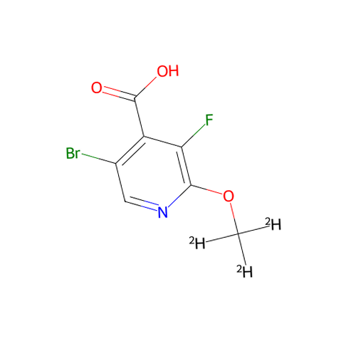 [2H]C([2H])([2H])Oc1ncc(Br)c(C(=O)O)c1F